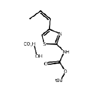 C/C=C\c1csc(NC(=O)OC(C)(C)C)n1.O=C(O)O